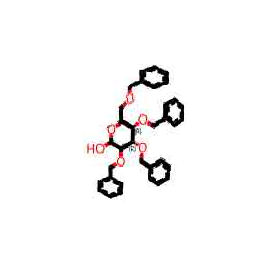 OC1OC(COCc2ccccc2)[C@@H](OCc2ccccc2)[C@@H](OCc2ccccc2)C1OCc1ccccc1